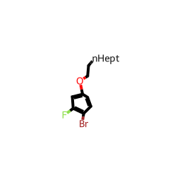 CCCCCCCCCOc1ccc(Br)c(F)c1